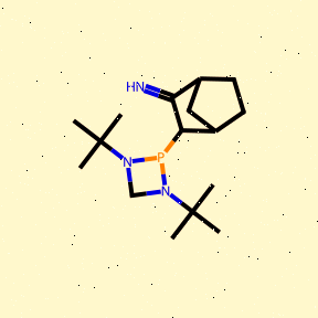 CC(C)(C)N1CN(C(C)(C)C)P1C1C(=N)C2CCC1C2